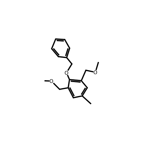 COCc1cc(C)cc(COC)c1OCc1ccccc1